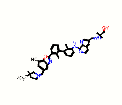 Cc1c(Nc2nccc3cc(CNC(C)(C)CO)cnc23)cccc1-c1cccc(-c2nc3cc(CN4CCC(C)(C(=O)O)C4)cc(C#N)c3o2)c1C